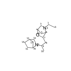 CCN1CC2CC1C(CC(C)N1CC3CCC1C3)O2